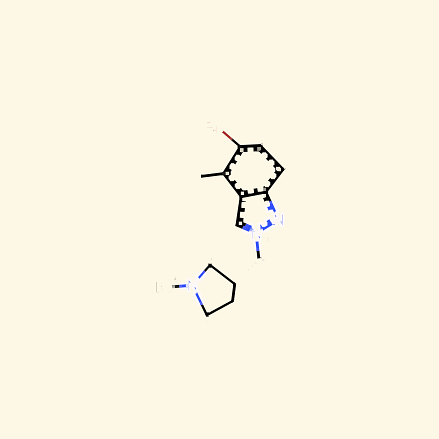 Cc1c(Br)ccc2nn(C[C@@H]3CCN(C(C)(C)C)C3)cc12